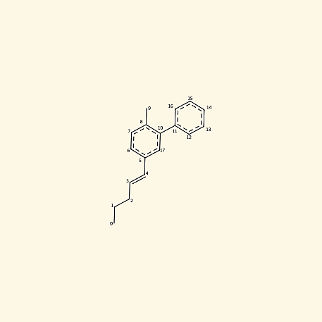 CCCC=Cc1ccc(C)c(-c2ccccc2)c1